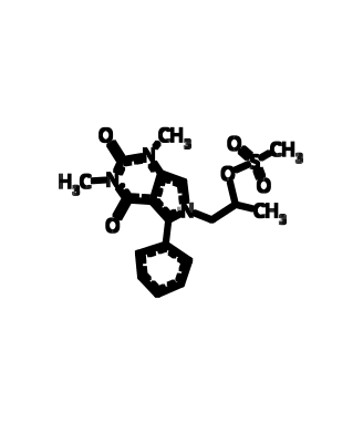 CC(Cn1cc2c(c1-c1ccccc1)c(=O)n(C)c(=O)n2C)OS(C)(=O)=O